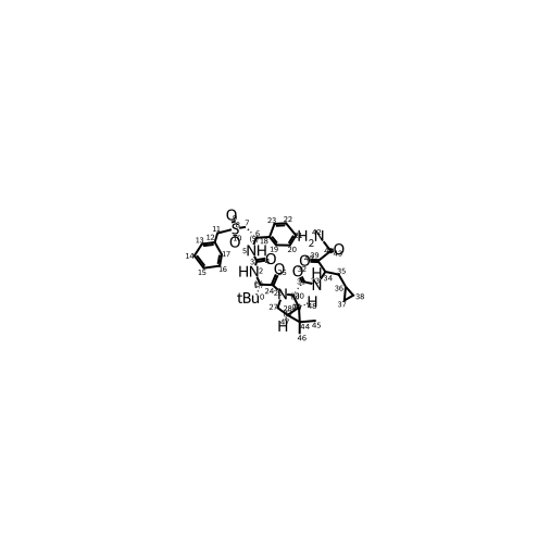 CC(C)(C)[C@H](NC(=O)N[C@H](CS(=O)(=O)Cc1ccccc1)c1ccccc1)C(=O)N1C[C@H]2[C@@H]([C@H]1C(=O)NC(CC1CC1)C(=O)C(N)=O)C2(C)C